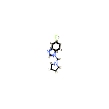 Fc1ccc2c(c1)ncn2CN1CCCC1